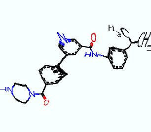 CC(C)c1cccc(NC(=O)c2cncc(-c3ccc(C(=O)N4CCNCC4)cc3)c2)c1